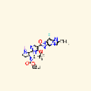 CCOc1nc(C2C(N(C)C(=O)OC(C)(C)C)CCN2I)ncc1C(=O)Nc1cc(F)c2nc(C)cn2c1